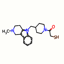 CN1CCc2c(c3ccccc3n2CC2CCN(C(=O)CS)CC2)C1